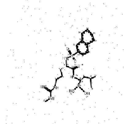 CNC(=N)NCCC[C@H](NS(=O)(=O)c1ccc2ccccc2c1)C(=O)N[C@@H](CC(C)C)B(O)O